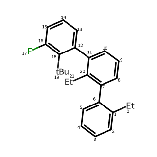 CCc1ccccc1-c1cccc(-c2cccc(F)c2C(C)(C)C)c1CC